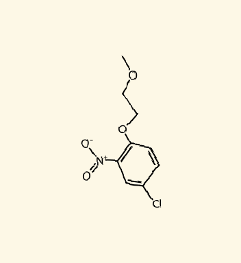 COCCOc1ccc(Cl)cc1[N+](=O)[O-]